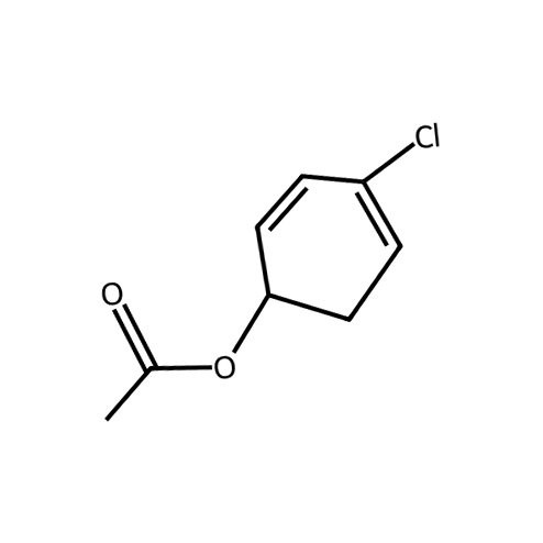 CC(=O)OC1C=CC(Cl)=CC1